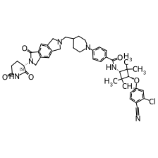 CC1(C)[C@H](NC(=O)c2ccc(N3CCC(CN4Cc5cc6c(cc5C4)C(=O)N([C@H]4CCC(=O)NC4=O)C6)CC3)cc2)C(C)(C)[C@H]1Oc1ccc(C#N)c(Cl)c1